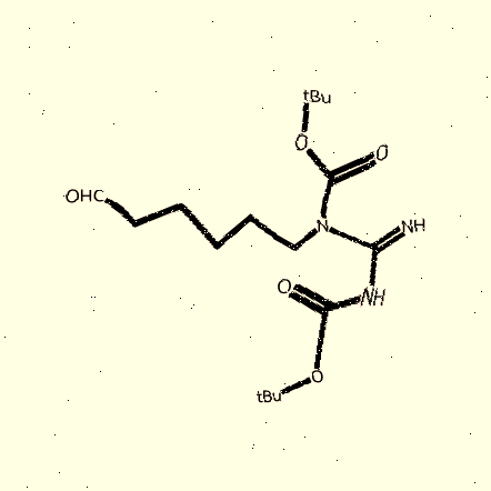 CC(C)(C)OC(=O)NC(=N)N(CCCCCC=O)C(=O)OC(C)(C)C